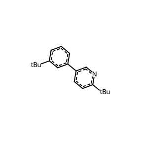 CC(C)(C)c1cccc(-c2ccc(C(C)(C)C)nc2)c1